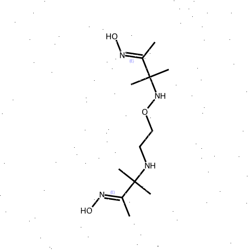 C/C(=N\O)C(C)(C)NCCONC(C)(C)/C(C)=N/O